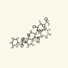 CC(=O)OC(C)C(=O)Nc1cnc2c(ccn2S(=O)(=O)c2ccccc2)c1NC1CCCOC1